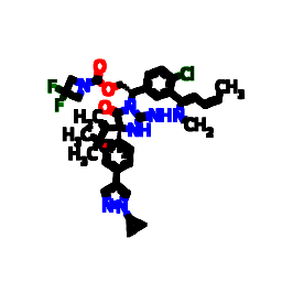 C=N/C(=C\C=C/C)c1cc([C@@H](COC(=O)N2CC(F)(F)C2)N2C(=N)N[C@](C(=C)C(C)(C)C)(c3ccc(-c4cnn(C5CC5)c4)cc3)C2=O)ccc1Cl